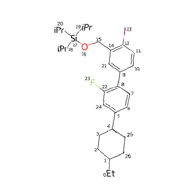 CCC1CCC(c2ccc(-c3ccc(I)c(CO[Si](C(C)C)(C(C)C)C(C)C)c3)c(F)c2)CC1